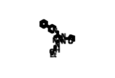 CCOCCNc1ncc(CN2CCC(c3ccccc3)CC2)c2nc(-c3ccco3)nn12